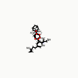 BC(B)(c1ccc(OC)nc1)N1C2CC1CN(c1ccc(C3=CC(CCC4(C#N)CC4)=CN/C3=C(/C#N)C=N)cn1)C2